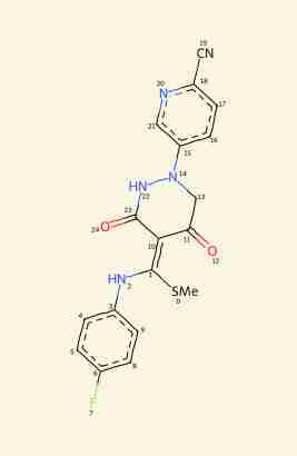 CSC(Nc1ccc(F)cc1)=C1C(=O)CN(c2ccc(C#N)nc2)NC1=O